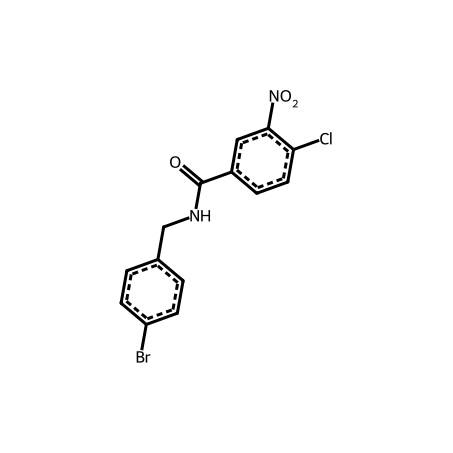 O=C(NCc1ccc(Br)cc1)c1ccc(Cl)c([N+](=O)[O-])c1